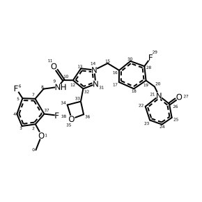 COc1ccc(F)c(CNC(=O)c2cn(Cc3ccc(Cn4ccccc4=O)c(F)c3)nc2C2COC2)c1F